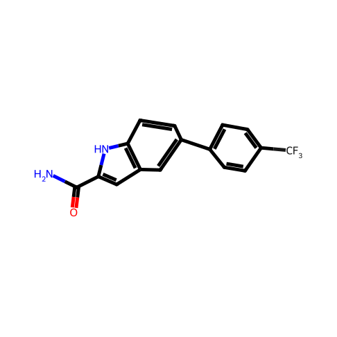 NC(=O)c1cc2cc(-c3ccc(C(F)(F)F)cc3)ccc2[nH]1